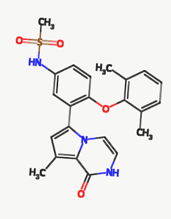 Cc1cccc(C)c1Oc1ccc(NS(C)(=O)=O)cc1-c1cc(C)c2c(=O)[nH]ccn12